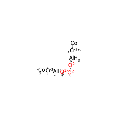 [AlH3].[AlH3].[Co].[Co].[Cr+3].[Cr+3].[O-2].[O-2].[O-2]